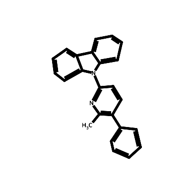 Cc1nc(-n2c3ccccc3c3ccccc32)ccc1-c1ccccc1